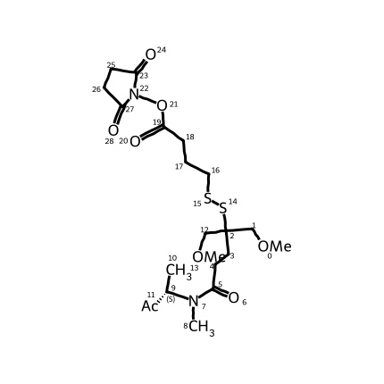 COCC(CCC(=O)N(C)[C@@H](C)C(C)=O)(COC)SSCCCC(=O)ON1C(=O)CCC1=O